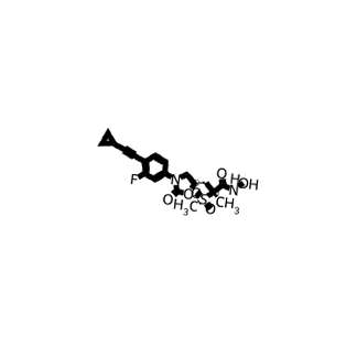 C[C@@](C[C@H]1CN(c2ccc(C#CC3CC3)c(F)c2)C(=O)O1)(C(=O)NO)S(C)(=O)=O